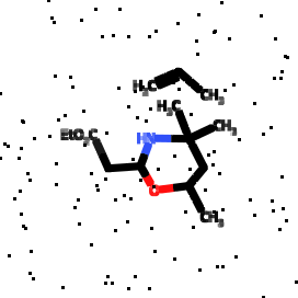 C=CC.CCOC(=O)CC1NC(C)(C)CC(C)O1